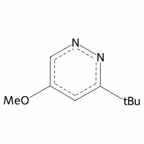 COc1cnnc(C(C)(C)C)c1